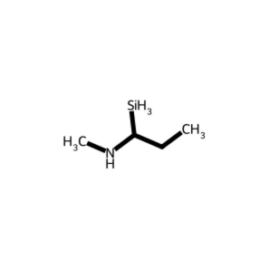 CCC([SiH3])NC